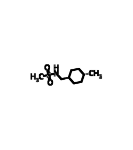 CS(=O)(=O)NC[C@H]1CC[C@H](C)CC1